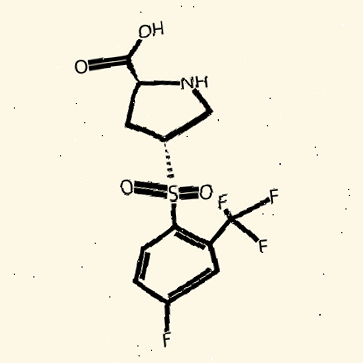 O=C(O)[C@@H]1C[C@@H](S(=O)(=O)c2ccc(F)cc2C(F)(F)F)CN1